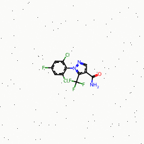 NC(=O)c1cnn(-c2c(Cl)cc(F)cc2Cl)c1C(F)(F)F